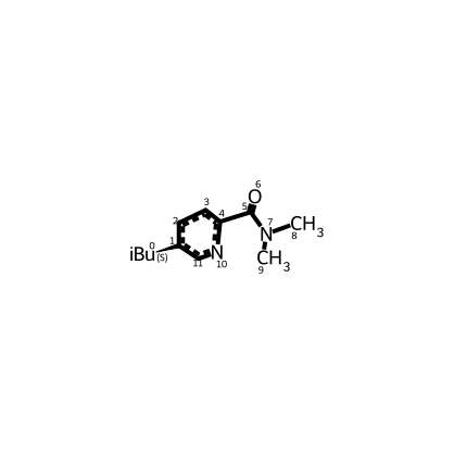 CC[C@H](C)c1ccc(C(=O)N(C)C)nc1